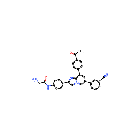 CC(=O)c1ccc(-c2cc(-c3cccc(C#N)c3)cn3cc(-c4ccc(NC(=O)CN)cc4)nc23)cc1